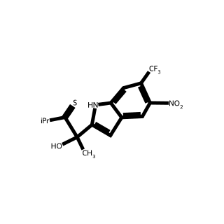 CC(C)C(=S)C(C)(O)c1cc2cc([N+](=O)[O-])c(C(F)(F)F)cc2[nH]1